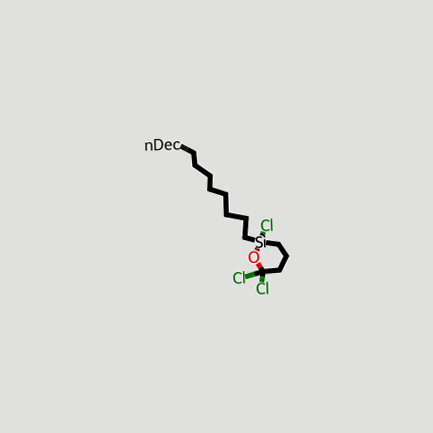 CCCCCCCCCCCCCCCCCC[Si]1(Cl)CCCC(Cl)(Cl)O1